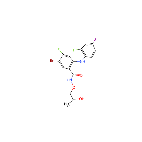 CC(O)CONC(=O)c1cc(Br)c(F)cc1Nc1ccc(I)cc1F